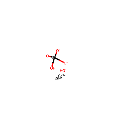 [Ca+2].[O-][Si]([O-])([O-])O.[OH-].[Zn+2]